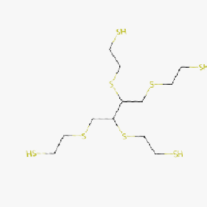 SCCSCC(SCCS)C(CSCCS)SCCS